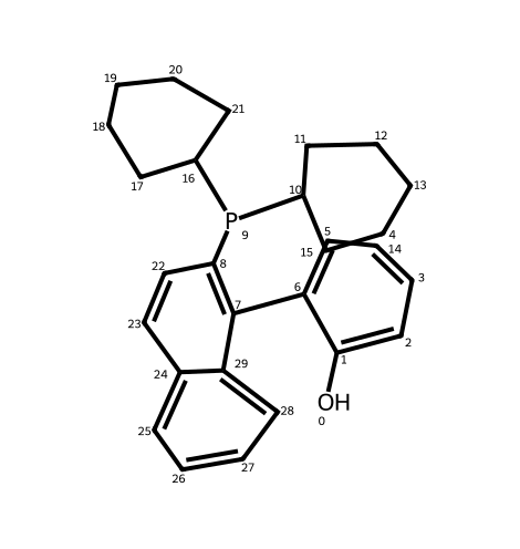 Oc1ccccc1-c1c(P(C2CCCCC2)C2CCCCC2)ccc2ccccc12